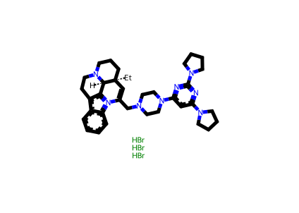 Br.Br.Br.CC[C@@]12C=C(CN3CCN(c4cc(N5CCCC5)nc(N5CCCC5)n4)CC3)n3c4c(c5ccccc53)CCN(CCC1)[C@H]42